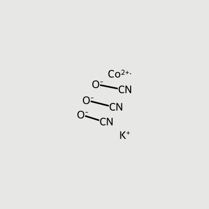 N#C[O-].N#C[O-].N#C[O-].[Co+2].[K+]